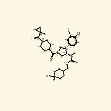 CN(C(=O)OCC1CCC(F)(F)CC1)[C@H]1CN(C(=O)C2CCN(C(=O)C3(C)CC3)CC2)C[C@@H]1c1ccc(Cl)c(Cl)c1